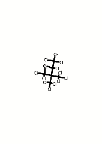 [O]C(Cl)(Cl)C(Cl)(Cl)C(C(Cl)(Cl)Cl)(C(Cl)(Cl)Cl)C(Cl)(Cl)Cl